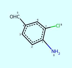 Nc1ccc(C=O)cc1Cl